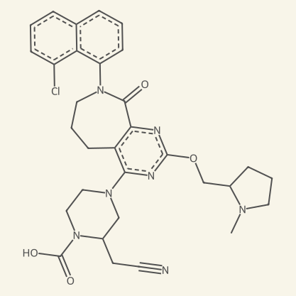 CN1CCCC1COc1nc2c(c(N3CCN(C(=O)O)C(CC#N)C3)n1)CCCN(c1cccc3cccc(Cl)c13)C2=O